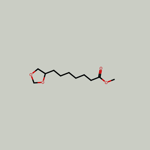 COC(=O)CCCCCCC1COCO1